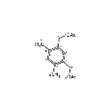 CC(=O)OCc1cc(COC(C)=O)c(C)cc1C